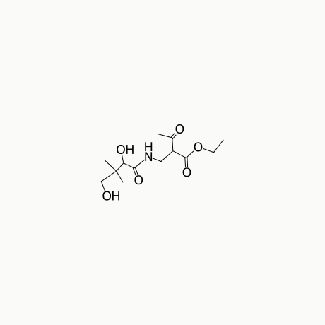 CCOC(=O)C(CNC(=O)C(O)C(C)(C)CO)C(C)=O